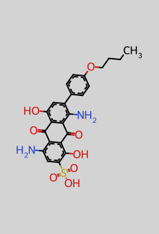 CCCCOc1ccc(-c2cc(O)c3c(c2N)C(=O)c2c(O)c(S(=O)(=O)O)cc(N)c2C3=O)cc1